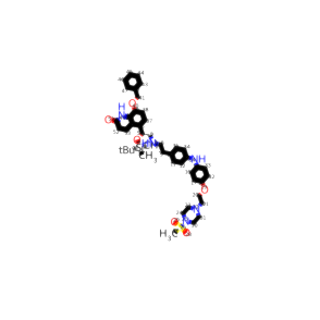 CC(C)(C)[Si](C)(C)O[C@@H](CNCCc1ccc(Nc2ccc(OCCN3CCN(S(C)(=O)=O)CC3)cc2)cc1)c1ccc(OCc2ccccc2)c2[nH]c(=O)ccc12